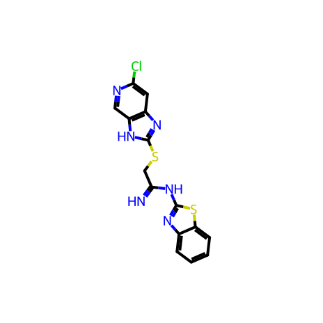 N=C(CSc1nc2cc(Cl)ncc2[nH]1)Nc1nc2ccccc2s1